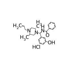 C=CCN1C[C@H](C)N([C@@H](NC(=O)c2ccccc2)c2cccc(O)c2)C[C@H]1C.Cl